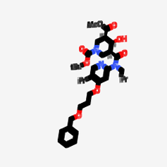 COC(=O)[C@@H]1CN(C(=O)OC(C)(C)C)C[C@H](C(=O)N(CC(C)C)c2cc(OCCCOCc3ccccc3)c(C(C)C)cn2)[C@@H]1O